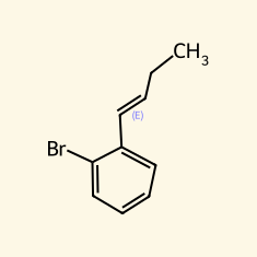 CC/C=C/c1ccccc1Br